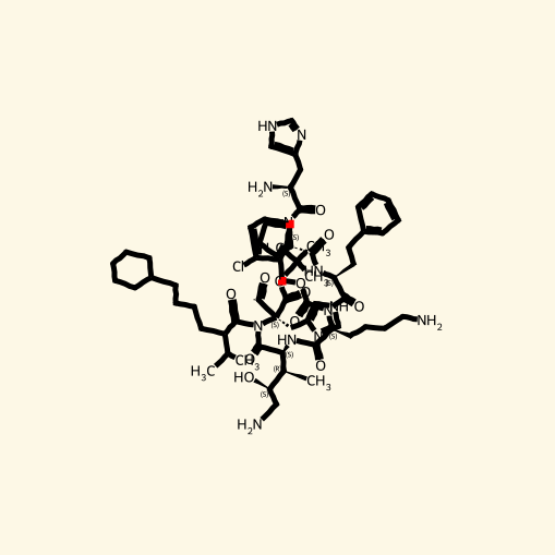 CC(C)C(CCCCC1CCCCC1)C(=O)N(C(=O)[C@@H](NC(=O)[C@H](CCCCN)N(C(=O)OCc1ccccc1Cl)C(=O)[C@H](CCc1ccccc1)NC(=O)[C@@H]1CCCN1C(=O)[C@@H](N)Cc1c[nH]cn1)[C@@H](C)[C@H](O)CN)[C@]([C]=O)(Cc1c[nH]cn1)C(=O)OC(C)(C)C